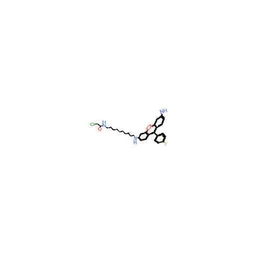 N=c1ccc2c(-c3ccc(F)cc3)c3ccc(NCCCCCCCCCCNC(=O)CCl)cc3oc-2c1